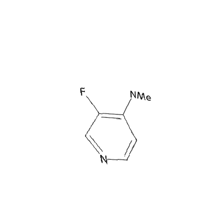 CNc1ccncc1F